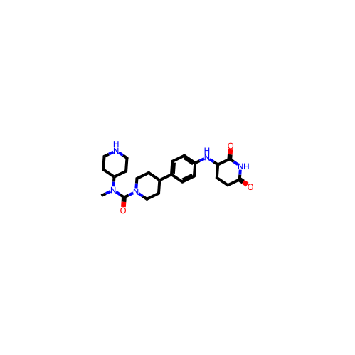 CN(C(=O)N1CCC(c2ccc(NC3CCC(=O)NC3=O)cc2)CC1)C1CCNCC1